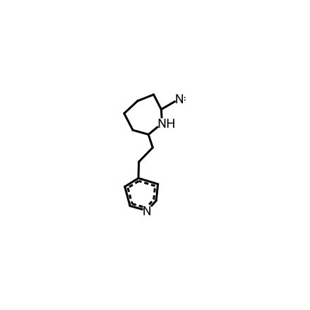 [N]C1CCCCC(CCc2ccncc2)N1